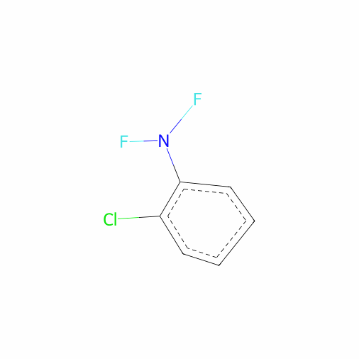 FN(F)c1ccccc1Cl